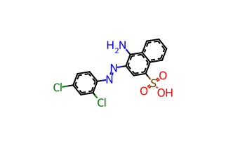 Nc1c(N=Nc2ccc(Cl)cc2Cl)cc(S(=O)(=O)O)c2ccccc12